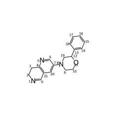 C1=NCCc2ncc(N3CCOC(c4ccccc4)C3)cc21